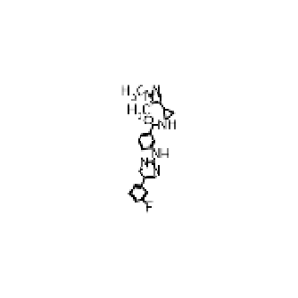 Cc1c(C2CC2NC(=O)c2cccc(Nc3ncc(-c4cccc(F)c4)cn3)c2)cnn1C